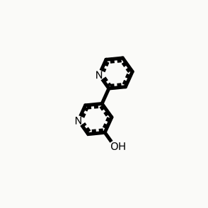 Oc1cncc(-c2ccccn2)c1